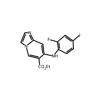 CCOC(=O)c1cn2ccnc2cc1Nc1ccc(I)cc1F